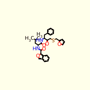 CC(C)CC(NC(=O)c1occ2ccccc12)C(=O)NC(Cc1ccccc1)C(=O)CSCc1ccco1